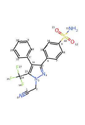 N#CCn1nc(-c2ccc(S(N)(=O)=O)cc2)c(-c2ccccc2)c1C(F)(F)F